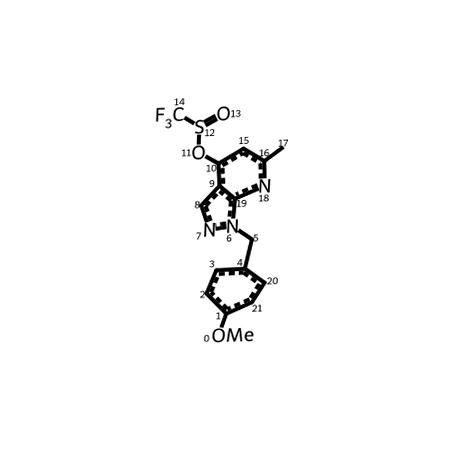 COc1ccc(Cn2ncc3c(OS(=O)C(F)(F)F)cc(C)nc32)cc1